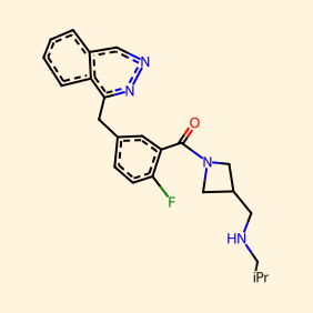 CC(C)CNCC1CN(C(=O)c2cc(Cc3nncc4ccccc34)ccc2F)C1